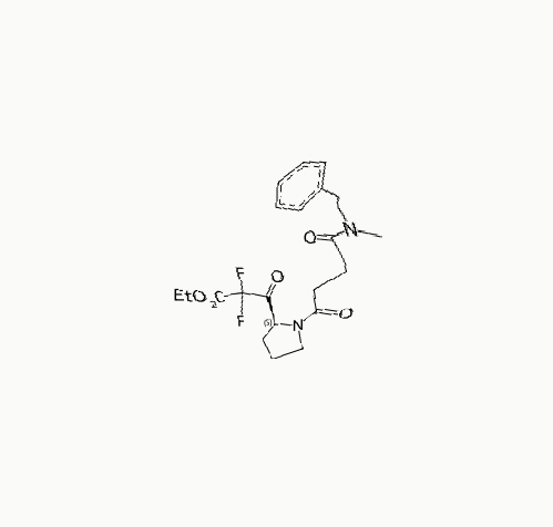 CCOC(=O)C(F)(F)C(=O)[C@@H]1CCCN1C(=O)CCC(=O)N(C)Cc1ccccc1